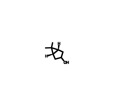 CC1(C)[C@@H]2CC(O)C[C@@H]21